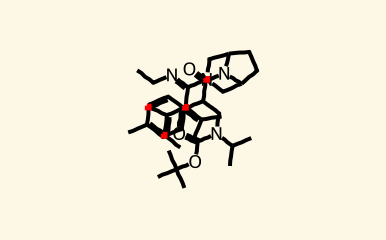 C/C=C(/C)C(=C(C)C)/C(=N\CC)N1CC2CCC(C1)N2C(=O)C(CN(C(=O)OC(C)(C)C)C(C)C)c1ccc(C)cc1